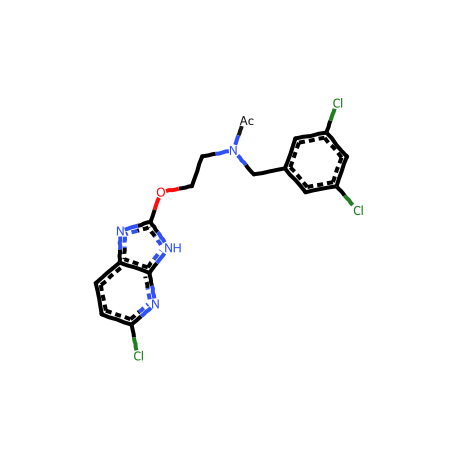 CC(=O)N(CCOc1nc2ccc(Cl)nc2[nH]1)Cc1cc(Cl)cc(Cl)c1